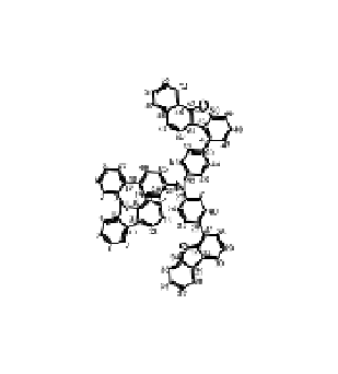 c1ccc(-n2c3ccccc3c3ccccc32)c(-c2ccc(N(c3ccc(-c4cccc5c4sc4ccccc45)cc3)c3ccc(-c4cccc5oc6c7ccccc7ccc6c45)cc3)cc2)c1